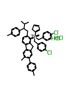 Cl.Cl.[CH2]=[Zr]([CH2]c1ccc(Cl)cc1)([CH2]c1ccc(Cl)cc1)([C]1=CC=CC1)[c]1c(CC(c2ccc(C)cc2)C(C)C)ccc2c1Cc1cc(-c3ccc(C)cc3)c(C)cc1-2